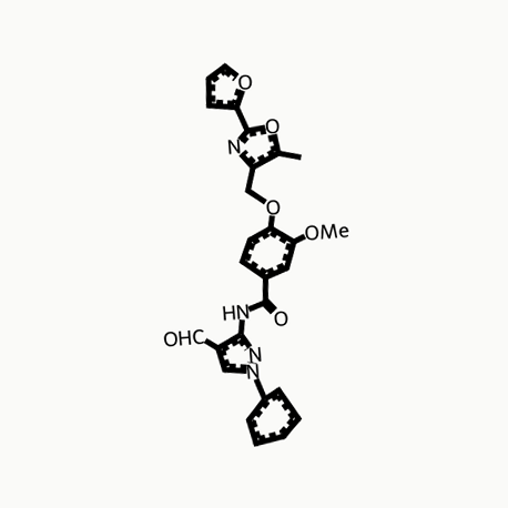 COc1cc(C(=O)Nc2nn(-c3ccccc3)cc2C=O)ccc1OCc1nc(-c2ccco2)oc1C